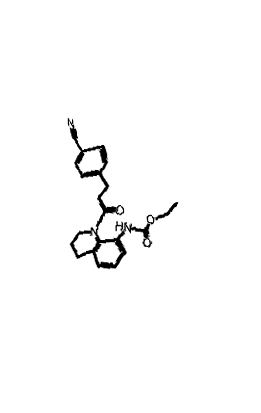 CCOC(=O)Nc1cccc2c1N(C(=O)CCc1ccc(C#N)cc1)CCC2